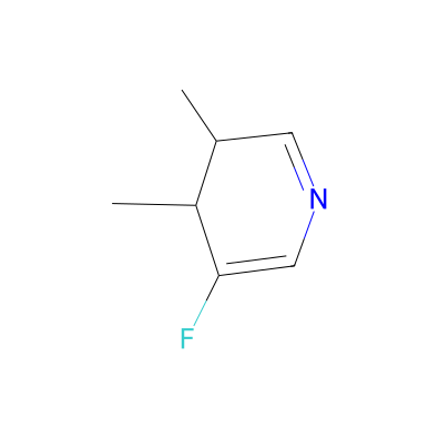 CC1C=NC=C(F)C1C